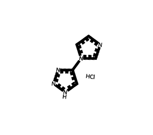 Cl.c1cn(-c2c[nH]nn2)cn1